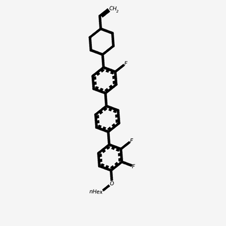 C=CC1CCC(c2ccc(-c3ccc(-c4ccc(OCCCCCC)c(F)c4F)cc3)cc2F)CC1